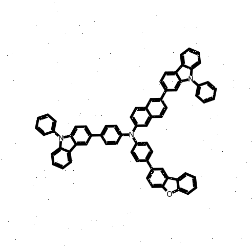 c1ccc(-n2c3ccccc3c3cc(-c4ccc(N(c5ccc(-c6ccc7oc8ccccc8c7c6)cc5)c5ccc6cc(-c7ccc8c9ccccc9n(-c9ccccc9)c8c7)ccc6c5)cc4)ccc32)cc1